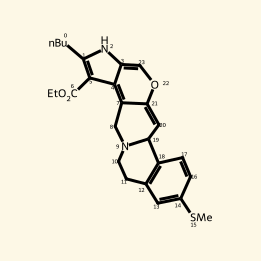 CCCCc1[nH]c2c(c1C(=O)OCC)=C1CN3CCc4cc(SC)ccc4C3C=C1OC=2